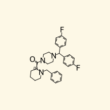 O=C([C@@H]1CCCCN1Cc1ccccc1)N1CCN(C(c2ccc(F)cc2)c2ccc(F)cc2)CC1